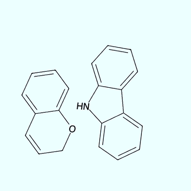 C1=Cc2ccccc2OC1.c1ccc2c(c1)[nH]c1ccccc12